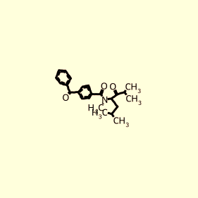 CC(C)CC(C(=O)C(C)C)N(C)C(=O)c1ccc(C(=O)c2ccccc2)cc1